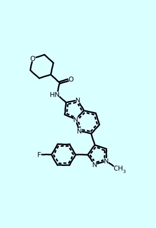 Cn1cc(-c2ccc3nc(NC(=O)C4CCOCC4)cn3n2)c(-c2ccc(F)cc2)n1